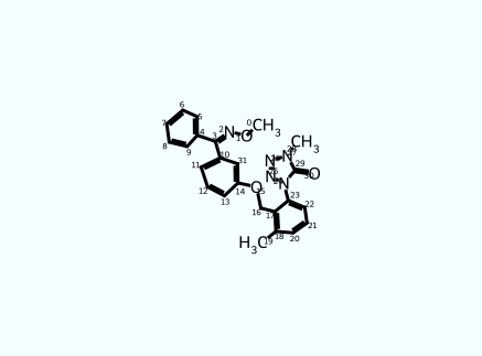 CON=C(c1ccccc1)c1cccc(OCc2c(C)cccc2-n2nnn(C)c2=O)c1